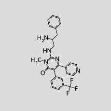 Cn1c(NCC(N)Cc2ccccc2)nc(-c2ccncc2)c(-c2cccc(C(F)(F)F)c2)c1=O